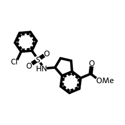 COC(=O)c1cccc2c1CCC2NS(=O)(=O)c1ccccc1Cl